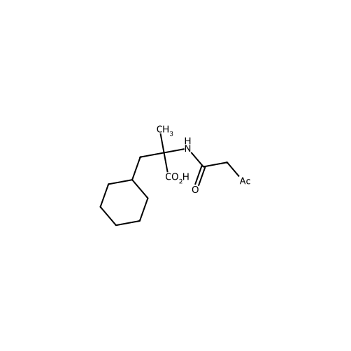 CC(=O)CC(=O)NC(C)(CC1CCCCC1)C(=O)O